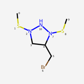 CSN1CC(CBr)N(SC)N1